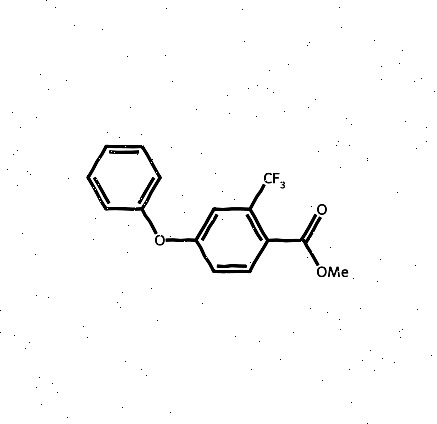 COC(=O)c1ccc(Oc2ccccc2)cc1C(F)(F)F